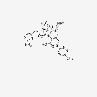 CO[C@@]1(NC(=O)Cc2csc(N)n2)C(=O)N2C(C(=O)O)=C(CSc3ccc(C)nn3)C[S+]([O-])[C@@H]21.[NaH]